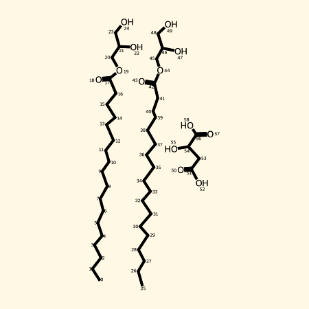 CCCCCCCCCCCCCCCCCC(=O)OCC(O)CO.CCCCCCCCCCCCCCCCCC(=O)OCC(O)CO.O=C(O)CC(O)C(=O)O